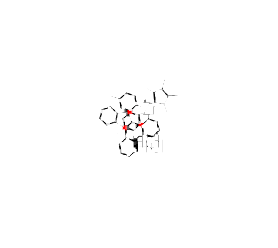 Cl.Cl.[CH2]=[Zr]([C]1=C(C)C(C)=C(C)C1C)([c]1ccc(C)cc1)([c]1ccc(C)cc1)[c]1cccc2c1c1c(c3ccccc32)-c2ccccc2C1